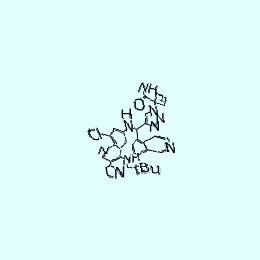 CC(C)(C)CNc1c(C#N)cnc2c(Cl)cc(NC(c3cn(C4(C(N)=O)CCC4)nn3)c3cccc4cnccc34)cc12